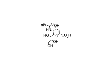 CCCCC(=O)N[C@@H]1C(O)C=C(C(=O)O)OC1C(O)C(O)CO